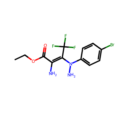 CCOC(=O)/C(N)=C(/N(N)c1ccc(Br)cc1)C(F)(F)F